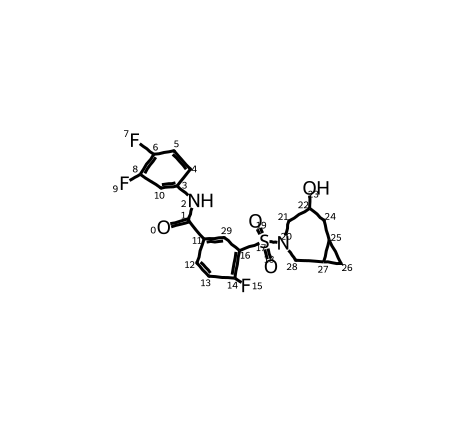 O=C(Nc1ccc(F)c(F)c1)c1ccc(F)c(S(=O)(=O)N2CC(O)CC3CC3C2)c1